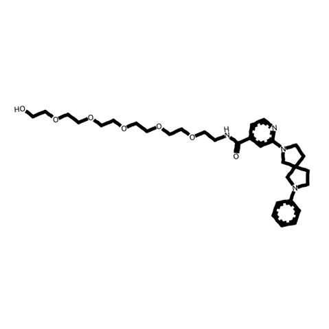 O=C(NCCOCCOCCOCCOCCOCCO)c1ccnc(N2CCC3(CCN(c4ccccc4)C3)C2)c1